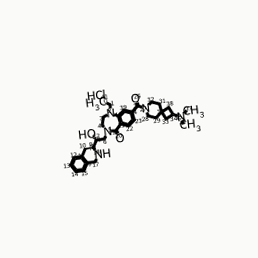 CCN1CCN(C[C@@H](O)[C@@H]2Cc3ccccc3CN2)C(=O)c2ccc(C(=O)N3CCC4(CC3)CC(N(C)C)C4)cc21.Cl